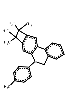 Cc1ccc(N2Cc3ccccc3-c3cc4c(cc32)C(C)(C)C4(C)C)cc1